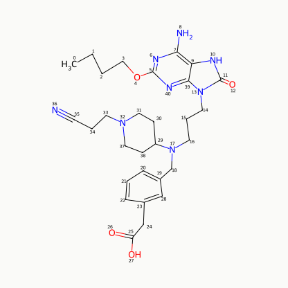 CCCCOc1nc(N)c2[nH]c(=O)n(CCCN(Cc3cccc(CC(=O)O)c3)C3CCN(CCC#N)CC3)c2n1